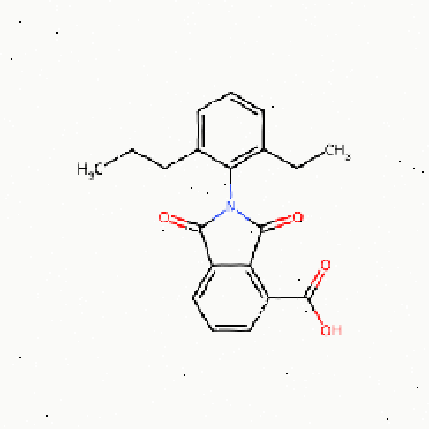 CCCc1cccc(CC)c1N1C(=O)c2cccc(C(=O)O)c2C1=O